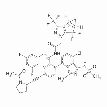 CC(=O)N1CCCC1C#Cc1ccc(-c2ccc(Cl)c3c(NS(C)(=O)=O)nn(C)c23)c([C@H](Cc2cc(F)cc(F)c2)NC(=O)Cn2nc(C(F)(F)F)c3c2C(F)(F)[C@@H]2C[C@H]32)n1